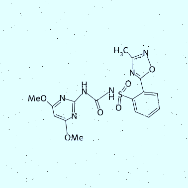 COc1cc(OC)nc(NC(=O)NS(=O)(=O)c2ccccc2-c2nc(C)no2)n1